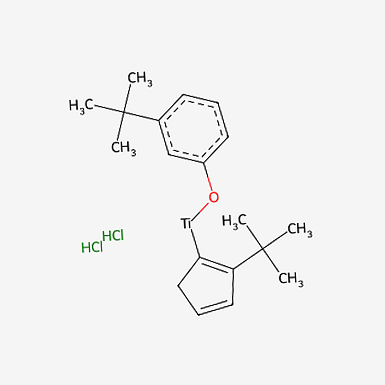 CC(C)(C)C1=[C]([Ti][O]c2cccc(C(C)(C)C)c2)CC=C1.Cl.Cl